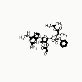 CNc1nc(N)nc2c1ncn2[C@@H]1O[C@H](CO[P@@](=O)(N[C@@H](C)C(=O)OC(C)C)Oc2ccccc2)[C@@H](OC(=O)C=O)[C@@]1(C)F